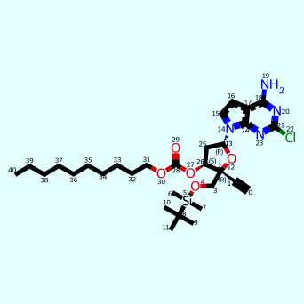 C#C[C@]1(CO[Si](C)(C)C(C)(C)C)O[C@@H](n2ccc3c(N)nc(Cl)nc32)C[C@@H]1OC(=O)OCCCCCCCCCC